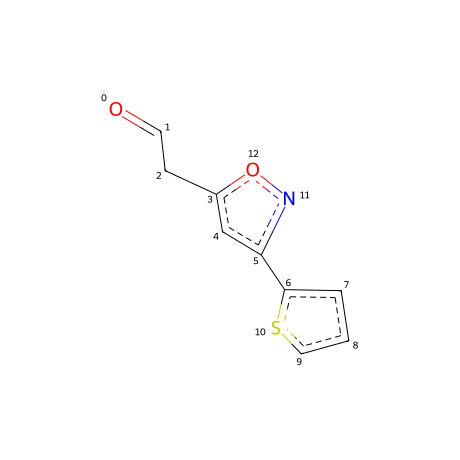 O=CCc1cc(-c2cccs2)no1